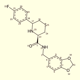 O=C(NCc1ccc2c(c1)OCO2)[C@@H]1[CH]SCC(c2ccc(F)cc2)N1